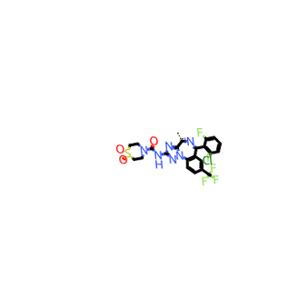 C[C@@H]1N=C(c2c(F)cccc2F)c2c(ccc(C(F)(F)F)c2Cl)-n2nc(NC(=O)N3CCS(=O)(=O)CC3)nc21